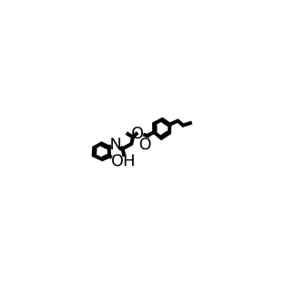 CCCc1ccc(C(=O)OC(C)CC(C)=Nc2ccccc2O)cc1